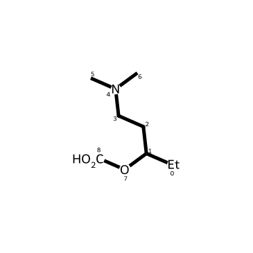 CCC(CCN(C)C)OC(=O)O